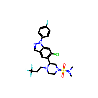 CN(C)S(=O)(=O)N1CCN(CCC(F)(F)F)C(c2cc3cnn(-c4ccc(F)cc4)c3cc2Cl)C1